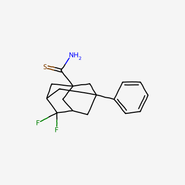 NC(=S)C12CC3CC(c4ccccc4)(CC(C1)C3(F)F)C2